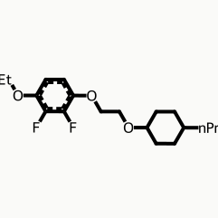 CCCC1CCC(OCCOc2ccc(OCC)c(F)c2F)CC1